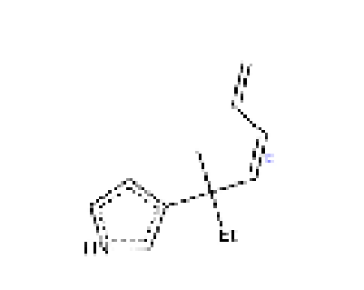 C=C/C=C\C(C)(CC)c1cc[nH]c1